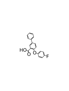 O=C(O)c1cc(-c2ccccc2)ccc1Oc1ccc(F)cc1